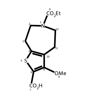 CCOC(=O)N1CCc2sc(C(=O)O)c(OC)c2CC1